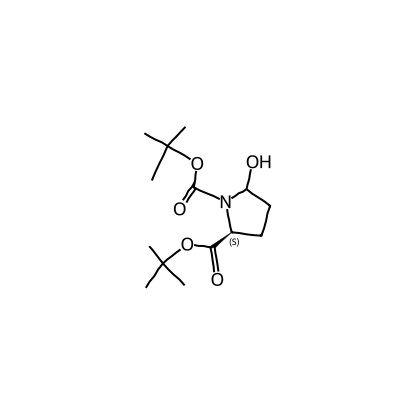 CC(C)(C)OC(=O)[C@@H]1CCC(O)N1C(=O)OC(C)(C)C